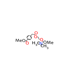 COC(=O)c1ccc(CC(=O)OCCOC(OC)N(C)C)cc1